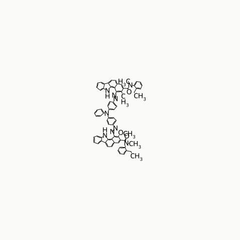 CCc1ccccc1N(C)C(=O)c1cc2ccc3c4ccccc4[nH]c3c2c(N=Nc2ccc(N(c3ccccc3)c3ccc(N=Nc4c(OC)c(C(=O)N(C)c5ccccc5CC)cc5ccc6c7ccccc7[nH]c6c45)cc3)cc2)c1C